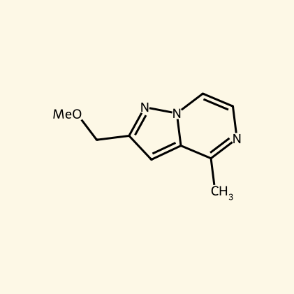 COCc1cc2c(C)nccn2n1